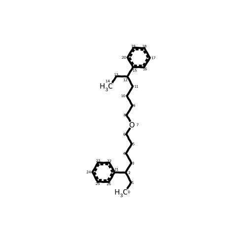 CCC(CCCCOCCCCC(CC)c1ccccc1)c1ccccc1